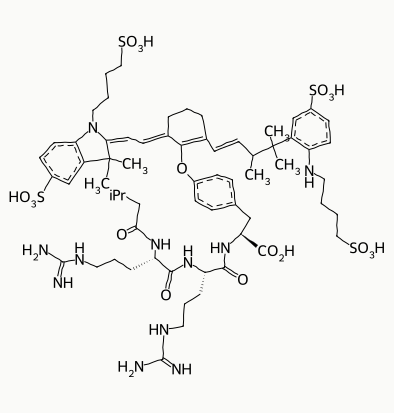 CC(C)CC(=O)N[C@@H](CCCNC(=N)N)C(=O)N[C@@H](CCCNC(=N)N)C(=O)N[C@@H](Cc1ccc(OC2=C(/C=C/C(C)C(C)(C)c3cc(S(=O)(=O)O)ccc3NCCCCS(=O)(=O)O)CCC/C2=C\C=C2\N(CCCCS(=O)(=O)O)c3ccc(S(=O)(=O)O)cc3C2(C)C)cc1)C(=O)O